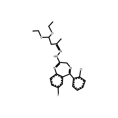 CCOC(CC(C)=NNC1=Nc2ccc(F)cc2C(c2ccccc2Cl)=NC1)OCC